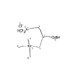 CC(C)COC(CC(=O)O)C[N+](C)(C)C.[Cl-]